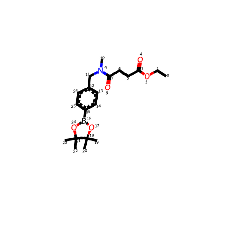 CCOC(=O)CCC(=O)N(C)Cc1ccc(B2OC(C)(C)C(C)(C)O2)cc1